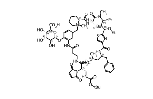 CCO[C@H](C[C@H](C(C)C)N(C)C(=O)[C@@H](NC(=O)[C@H]1CCCC[N+]1(C)Cc1ccc(O[C@@H]2O[C@H](C(=O)O)[C@@H](O)[C@@H](O)[C@@H]2O)c(NC(=O)CCNC(=O)[C@H](CNC(=O)OC(C)(C)C)N2C(=O)C=CC2=O)c1)[C@@H](C)CC)c1nc(C(=O)N[C@@H](Cc2ccccc2)C[C@H](C)C(=O)O)cs1